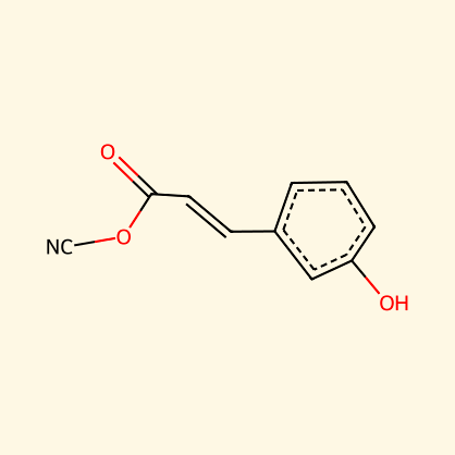 N#COC(=O)C=Cc1cccc(O)c1